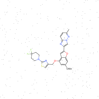 COc1cc(OCc2csc(N3CCC(F)(F)CC3)n2)c2cc(-c3cn4nc(C)ccc4n3)oc2c1